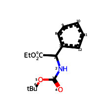 CCOC(=O)C(NC(=O)OC(C)(C)C)c1ccccc1